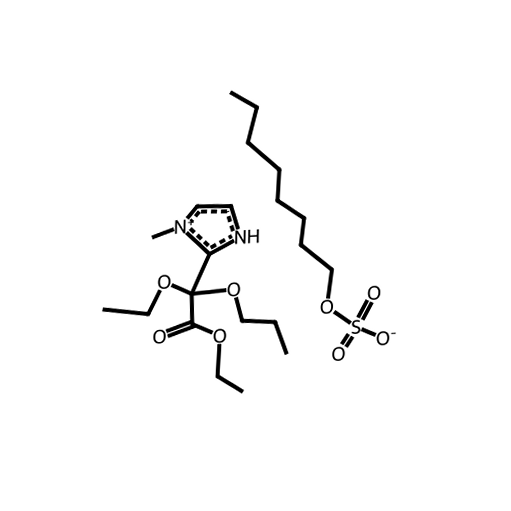 CCCCCCCCOS(=O)(=O)[O-].CCCOC(OCC)(C(=O)OCC)c1[nH]cc[n+]1C